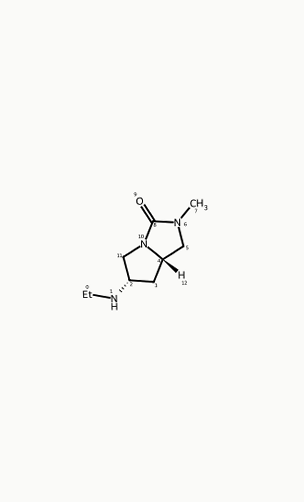 CCN[C@H]1C[C@H]2CN(C)C(=O)N2C1